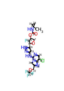 CC1(NC(=O)O[C@H]2CO[C@@H](c3cc(Nc4ncc(Cl)c5nc(COC(F)(F)F)cn45)n[nH]3)[C@H]2F)CC1